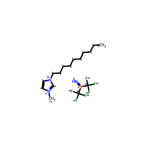 CCCCCCCCCCn1cc[n+](C)c1.N=S(C(F)(F)F)C(F)(F)F